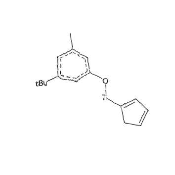 Cc1cc([O][Ti][C]2=CC=CC2)cc(C(C)(C)C)c1